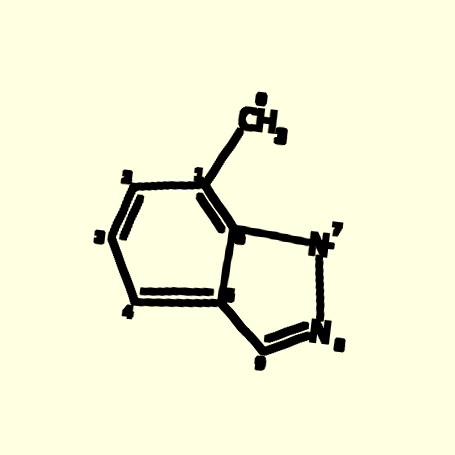 Cc1cccc2c1[N]N=C2